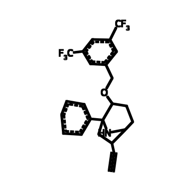 C#CC1CC2(c3ccccc3)NC1CCC2OCc1cc(C(F)(F)F)cc(C(F)(F)F)c1